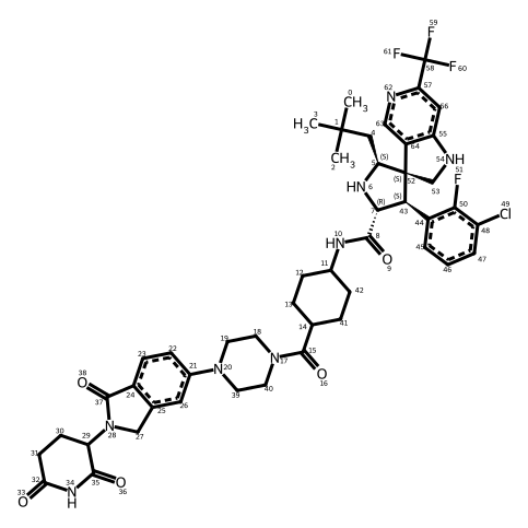 CC(C)(C)C[C@@H]1N[C@@H](C(=O)NC2CCC(C(=O)N3CCN(c4ccc5c(c4)CN(C4CCC(=O)NC4=O)C5=O)CC3)CC2)[C@H](c2cccc(Cl)c2F)[C@]12CNc1cc(C(F)(F)F)ncc12